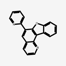 c1ccc(-c2cc3cccnc3c3c2oc2ccccc23)nc1